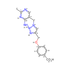 Cc1ncc(Cn2cc(COc3ccc(C(=O)O)cc3)nn2)c(N)n1